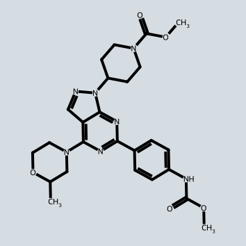 COC(=O)Nc1ccc(-c2nc(N3CCOC(C)C3)c3cnn(C4CCN(C(=O)OC)CC4)c3n2)cc1